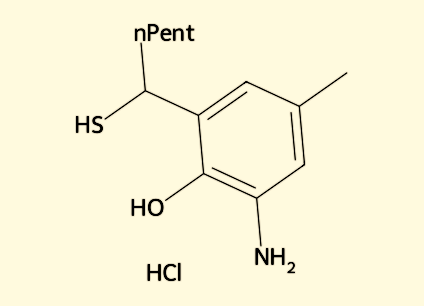 CCCCCC(S)c1cc(C)cc(N)c1O.Cl